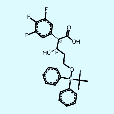 CC(C)(C)[Si](OCC[C@H](O)[C@@H](C(=O)O)c1cc(F)c(F)c(F)c1)(c1ccccc1)c1ccccc1